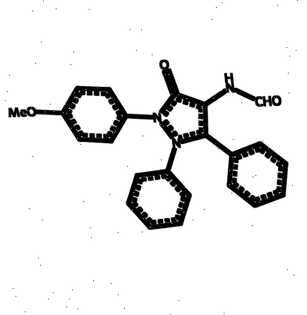 COc1ccc(-n2c(=O)c(NC=O)c(-c3ccccc3)n2-c2ccccc2)cc1